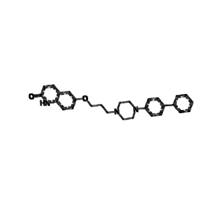 O=c1ccc2cc(OCCCN3CCN(c4ccc(-c5ccccc5)cc4)CC3)ccc2[nH]1